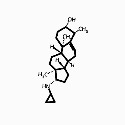 C[C@@H]1C2=CC[C@H]3[C@@H]4CC[C@H](NC5CC5)[C@@]4(C)CC[C@@H]3[C@@]2(C)CC[C@@H]1O